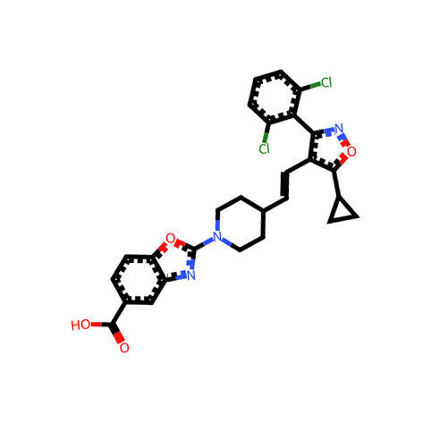 O=C(O)c1ccc2oc(N3CCC(/C=C/c4c(-c5c(Cl)cccc5Cl)noc4C4CC4)CC3)nc2c1